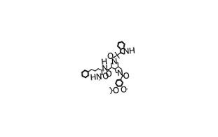 CNC(=O)C(CCCc1ccccc1)NC(=O)C1CN(C(=O)C(C)(C)c2c[nH]c3ccccc23)CC2CN(C(=O)c3ccc(OC(C)C)c(OC)c3)CC21